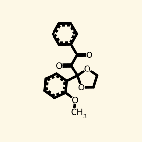 COc1ccccc1C1(C(=O)C(=O)c2ccccc2)OCCO1